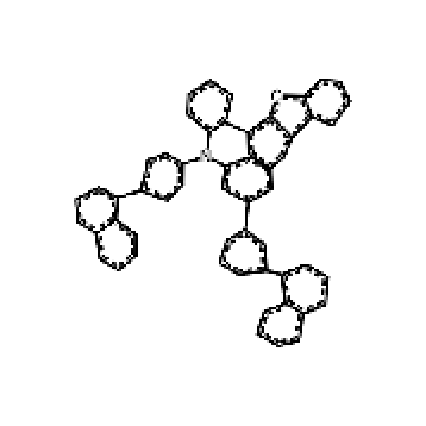 c1cc(-c2cccc(N(c3ccc(-c4cccc5ccccc45)cc3)c3ccccc3-c3cccc4c3oc3ccccc34)c2)cc(-c2cccc3ccccc23)c1